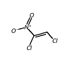 O=[N+]([O-])C(Cl)=CCl